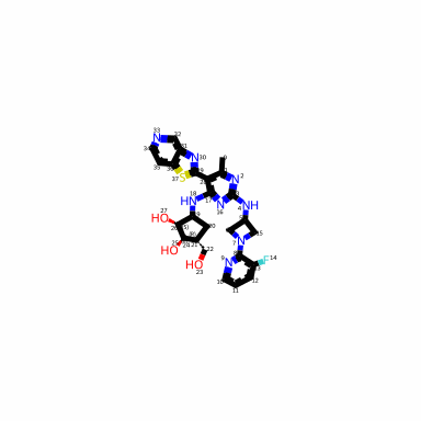 Cc1nc(NC2CN(c3ncccc3F)C2)nc(NC2C[C@H](CO)[C@@H](O)[C@H]2O)c1-c1nc2cnccc2s1